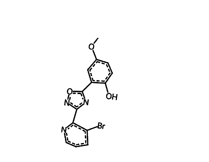 COc1ccc(O)c(-c2nc(-c3ncccc3Br)no2)c1